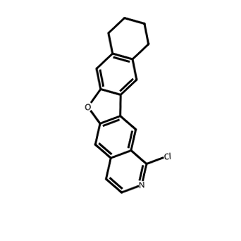 Clc1nccc2cc3oc4cc5c(cc4c3cc12)CCCC5